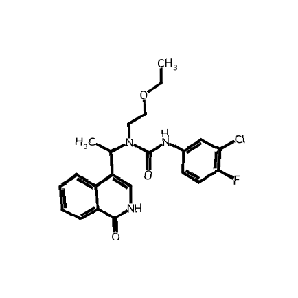 CCOCCN(C(=O)Nc1ccc(F)c(Cl)c1)C(C)c1c[nH]c(=O)c2ccccc12